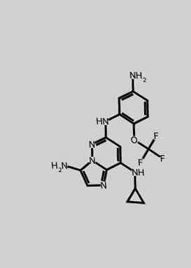 Nc1ccc(OC(F)(F)F)c(Nc2cc(NC3CC3)c3ncc(N)n3n2)c1